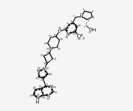 OC[C@H]1CCCN1Cc1cc(OC2CCN(C3C[C](n4cc(-c5ncnc6[nH]ccc56)cn4)C3)CC2)nc(C(F)(F)F)c1